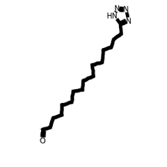 O=[C]CCCCCCCCCCCCCCCc1nnn[nH]1